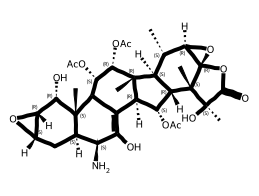 CC(=O)O[C@H]1[C@@H]2[C@H]([C@H](C)[C@H]3O[C@]34OC(=O)[C@@](C)(O)[C@]24C)[C@]2(C)[C@@H]1C1=C(O)[C@@H](N)[C@H]3C[C@@H]4O[C@@H]4[C@H](O)[C@]3(C)C1[C@H](OC(C)=O)[C@@H]2OC(C)=O